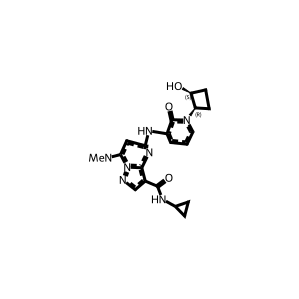 CNc1cc(Nc2cccn([C@@H]3CC[C@@H]3O)c2=O)nc2c(C(=O)NC3CC3)cnn12